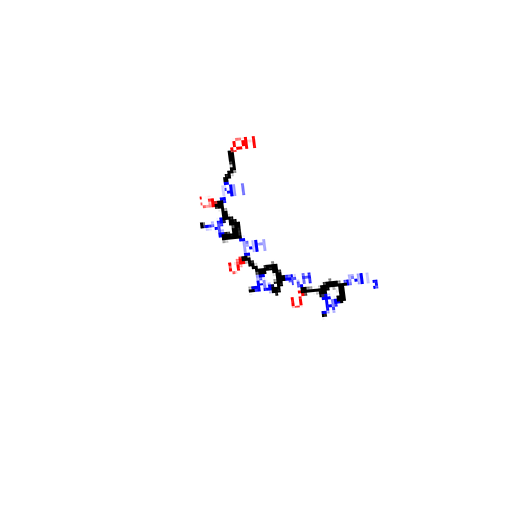 Cn1cc(NC(=O)c2cc(NC(=O)c3cc(N)cn3C)cn2C)cc1C(=O)NCCCO